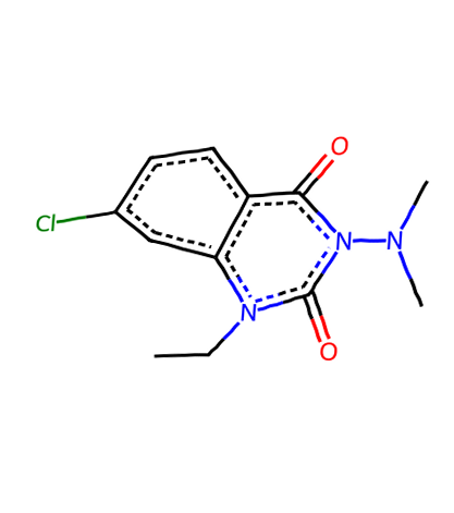 CCn1c(=O)n(N(C)C)c(=O)c2ccc(Cl)cc21